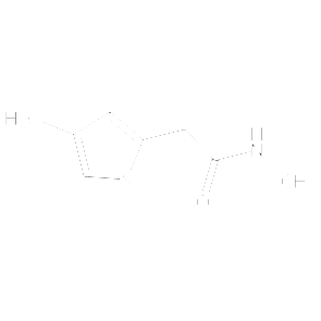 CNC(=O)Cc1cc(C)cs1